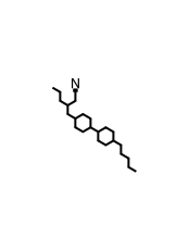 CCCCCC1CCC(C2CCC(CC(CC#N)CCC)CC2)CC1